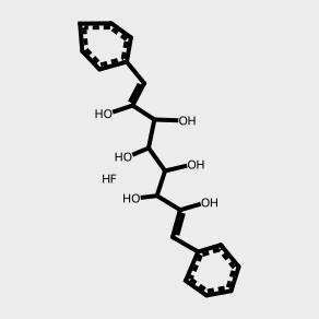 F.OC(=Cc1ccccc1)C(O)C(O)C(O)C(O)C(O)=Cc1ccccc1